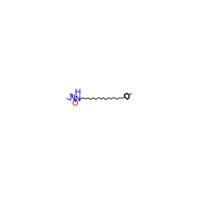 CCN(CC)C(=O)NCCCCCCCCCCCCCCCCCc1ccc(C)cc1